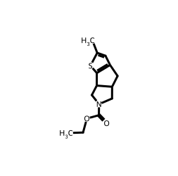 CCOC(=O)N1CC2Cc3cc(C)sc3C2C1